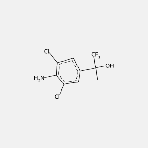 CC(O)(c1cc(Cl)c(N)c(Cl)c1)C(F)(F)F